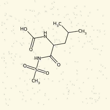 CC(C)CC(NC(=O)O)C(=O)NS(C)(=O)=O